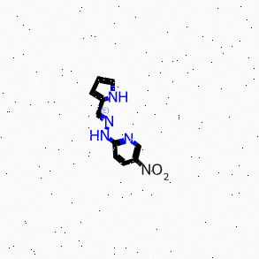 O=[N+]([O-])c1ccc(N/N=C/c2ccc[nH]2)nc1